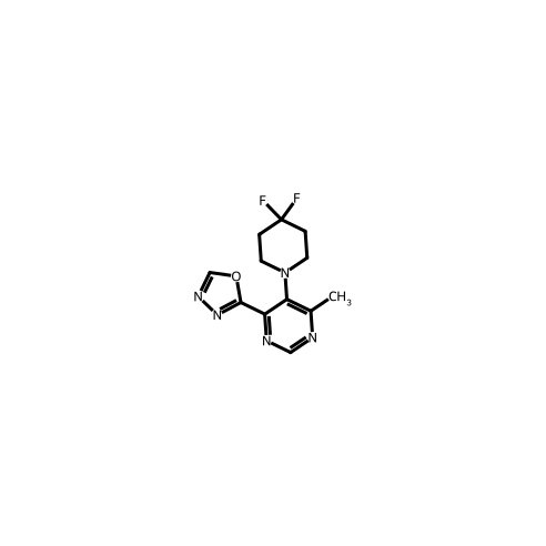 Cc1ncnc(-c2nnco2)c1N1CCC(F)(F)CC1